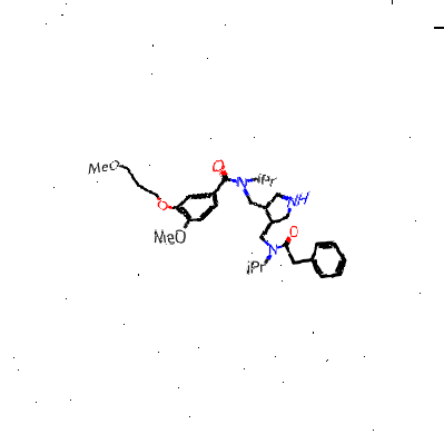 COCCCOc1cc(C(=O)N(CC2CNCC2CN(C(=O)Cc2ccccc2)C(C)C)C(C)C)ccc1OC